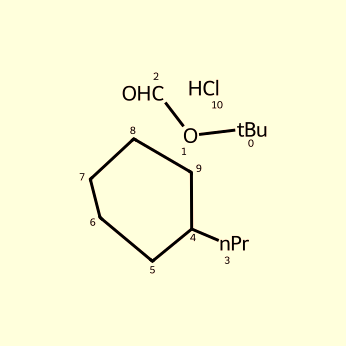 CC(C)(C)OC=O.CCCC1CCCCC1.Cl